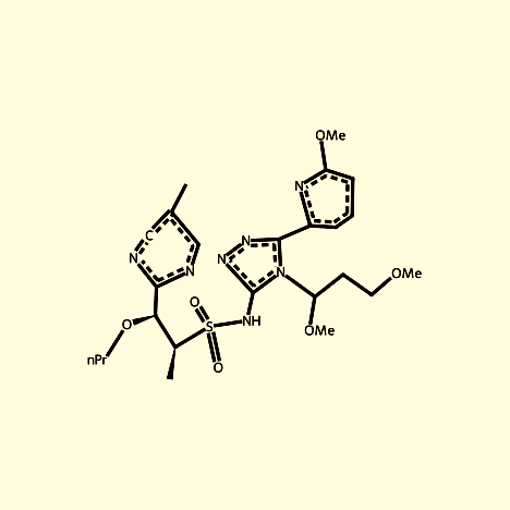 CCCO[C@@H](c1ncc(C)cn1)[C@H](C)S(=O)(=O)Nc1nnc(-c2cccc(OC)n2)n1C(CCOC)OC